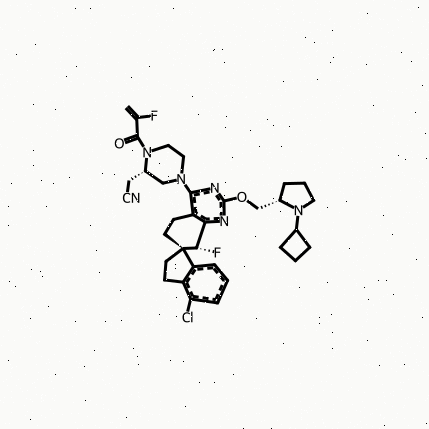 C=C(F)C(=O)N1CCN(c2nc(OC[C@@H]3CCCN3C3CCC3)nc3c2CC[C@@]2(CCc4c(Cl)cccc42)[C@H]3F)C[C@@H]1CC#N